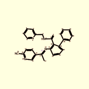 C=C(NCc1ccccn1)c1c(/N=C(\C)c2ccc(C#N)nc2)cccc1-c1ccccc1